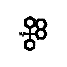 NC(c1ccccc1)(c1ccccc1)c1nccc2ccccc12